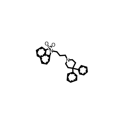 O=S1(=O)c2cccc3cccc(c23)N1CCCN1CCC(c2ccccc2)(c2ccccc2)CC1